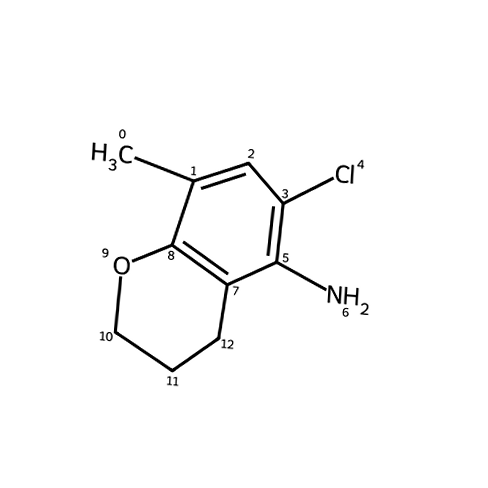 Cc1cc(Cl)c(N)c2c1OCCC2